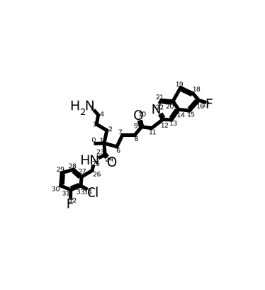 CC(CCCN)(CCCC(=O)Cc1cc2cc(F)ccc2cn1)C(=O)NCc1cccc(F)c1Cl